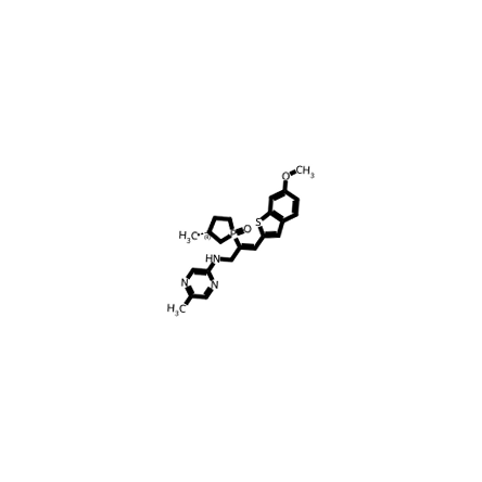 COc1ccc2cc(C=C(CNc3cnc(C)cn3)P3(=O)CC[C@@H](C)C3)sc2c1